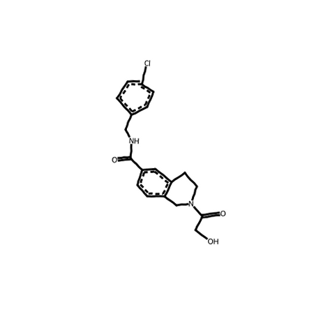 O=C(NCc1ccc(Cl)cc1)c1ccc2c(c1)CCN(C(=O)CO)C2